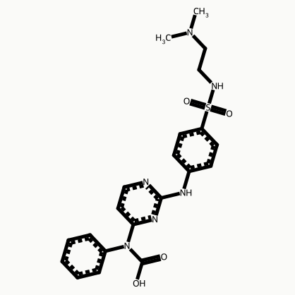 CN(C)CCNS(=O)(=O)c1ccc(Nc2nccc(N(C(=O)O)c3ccccc3)n2)cc1